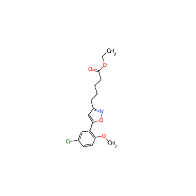 CCOC(=O)CCCCc1cc(-c2cc(Cl)ccc2OC)on1